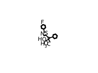 CCC1(C(=O)O)C(c2ccccc2)C1c1cnc(-c2ccc(F)cc2)s1